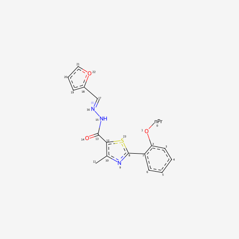 CCCOc1ccccc1-c1nc(C)c(C(=O)N/N=C/c2ccco2)s1